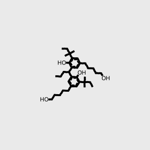 CCCC(c1cc(CCCCCO)cc(C(C)(C)CC)c1O)c1cc(CCCCCO)cc(C(C)(C)CC)c1O